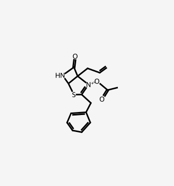 C=CCC12C(=O)NC1SC(Cc1ccccc1)=[N+]2OC(C)=O